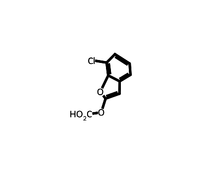 O=C(O)Oc1cc2cccc(Cl)c2o1